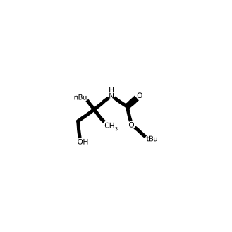 CCCCC(C)(CO)NC(=O)OC(C)(C)C